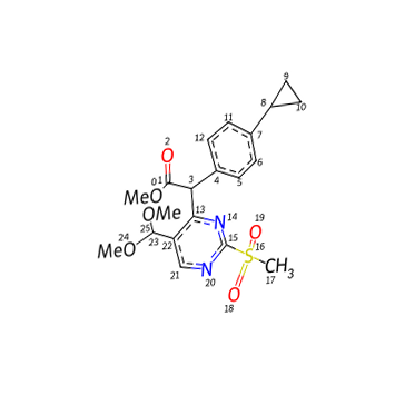 COC(=O)C(c1ccc(C2CC2)cc1)c1nc(S(C)(=O)=O)ncc1C(OC)OC